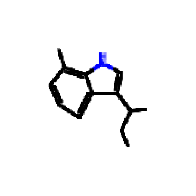 CCC(C)c1c[nH]c2c(C)cccc12